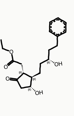 CCOC(=O)C[C@H]1C(=O)C[C@@H](O)[C@@H]1CC[C@@H](O)CCc1ccccc1